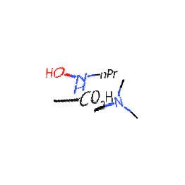 CC(=O)O.CCCNO.CN(C)C